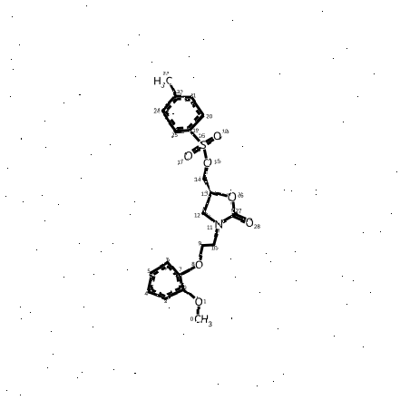 COc1ccccc1OCCN1C[C@@H](COS(=O)(=O)c2ccc(C)cc2)OC1=O